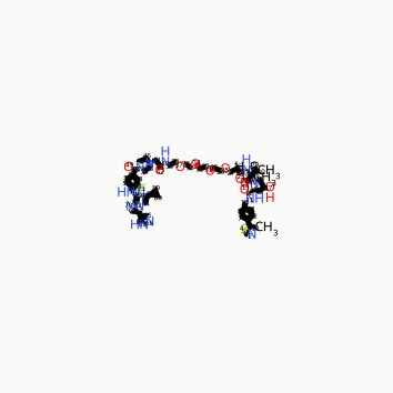 Cc1ncsc1-c1ccc(CNC(=O)[C@@H]2C[C@@H](O)CN2C(=O)[C@@H](NC(=O)CCOCCOCCOCCOCCNC(=O)CN2CCN(C(=O)c3ccc(Nc4nc(C5CC5)cn5c(-c6cn[nH]c6)cnc45)c(F)c3)CC2)C(C)(C)C)cc1